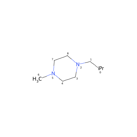 CC(C)CN1CCN(C)CC1